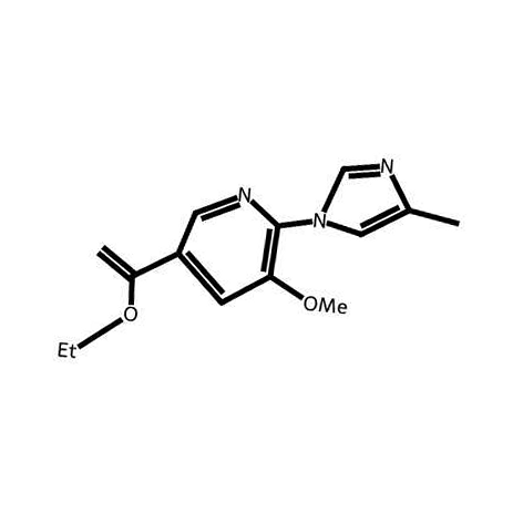 C=C(OCC)c1cnc(-n2cnc(C)c2)c(OC)c1